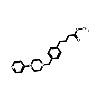 COC(=O)CCCc1ccc(CN2CCN(c3ccncc3)CC2)cc1